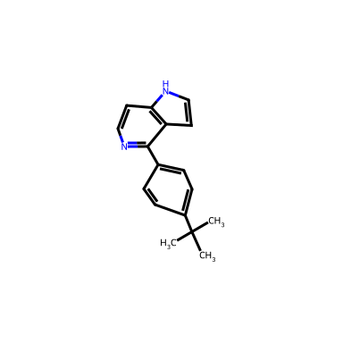 CC(C)(C)c1ccc(-c2nccc3[nH]ccc23)cc1